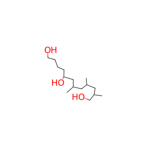 CC(CO)CC(C)CC(C)CC(O)CCCCO